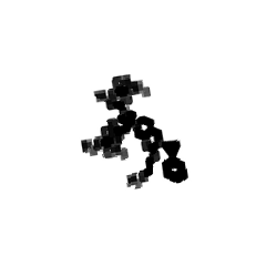 C=CCOC(=O)N(CC1CCN(C2(CC(=O)OC(C)(C)C)CN(C(=O)OC(C)(C)C)C2)CC1)[C@@H]1C[C@H]1c1ccccc1